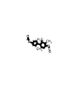 C.Cc1c(N=C=O)ccc(-c2ccc(N=C=O)cc2)c1C